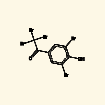 O=C(c1cc(Br)c(O)c(Br)c1)C(Br)(Br)Br